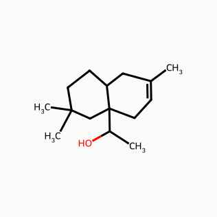 CC1=CCC2(C(C)O)CC(C)(C)CCC2C1